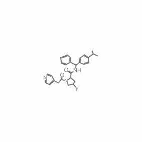 CC(C)c1ccc(C(NC(=O)C2CC(F)CN2C(=O)Cc2ccncc2)c2ccccc2)cc1